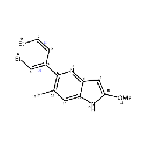 CC/C=C\C(=C/CC)c1nc2cc(OC)[nH]c2cc1F